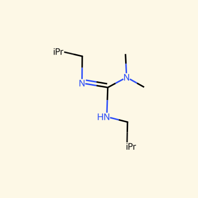 CC(C)CN=C(NCC(C)C)N(C)C